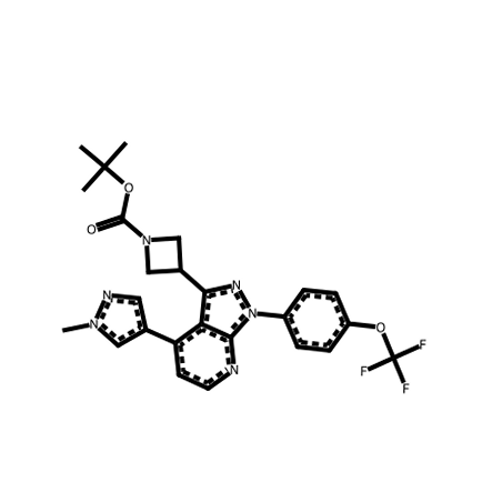 Cn1cc(-c2ccnc3c2c(C2CN(C(=O)OC(C)(C)C)C2)nn3-c2ccc(OC(F)(F)F)cc2)cn1